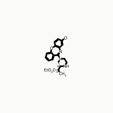 CCOC(=O)[C@@H](C)[C@@H]1CN(C2=Nc3cc(Cl)ccc3Oc3ccccc32)CCN1